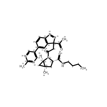 CCCCNC(=O)[C@@H]1C[C@@]2(C)C[C@H]2N1C(=O)CC1(C(C)=O)N=Nc2ccc(-c3cnc(C)nc3)cc21